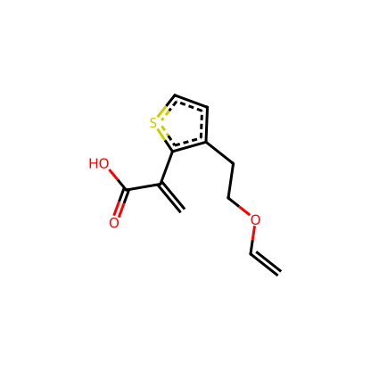 C=COCCc1ccsc1C(=C)C(=O)O